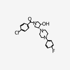 O=C(c1ccc(Cl)cc1)N1C[C@@H](O)[C@H](N2CCN(c3ccc(F)cc3)CC2)C1